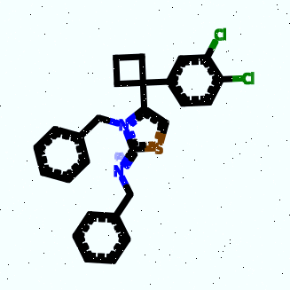 Clc1ccc(C2(c3cs/c(=N\Cc4ccccc4)n3Cc3ccccc3)CCC2)cc1Cl